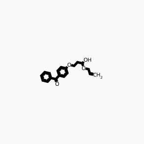 C=CCOC(O)CCOc1ccc(C(=O)c2ccccc2)cc1